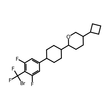 Fc1cc(C2CCC(C3CCC(C4CCC4)CO3)CC2)cc(F)c1C(F)(F)Br